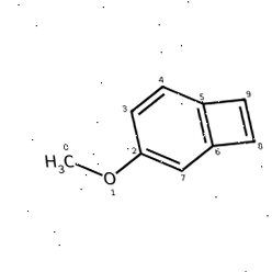 COc1ccc2c(c1)C=C2